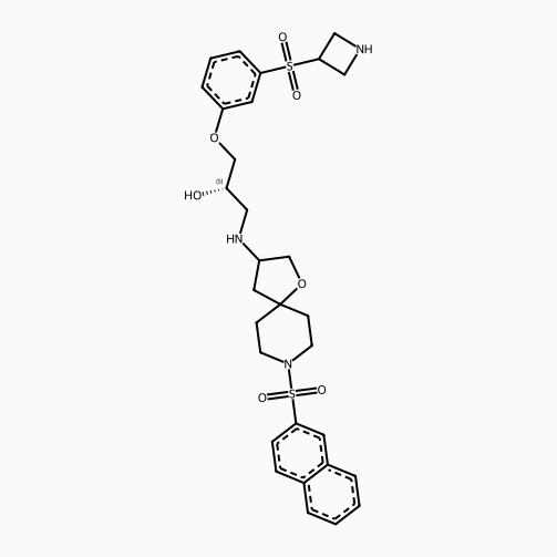 O=S(=O)(c1cccc(OC[C@@H](O)CNC2COC3(CCN(S(=O)(=O)c4ccc5ccccc5c4)CC3)C2)c1)C1CNC1